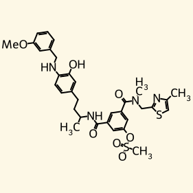 COc1cccc(CNc2ccc(CCC(C)NC(=O)c3cc(OS(C)(=O)=O)cc(C(=O)N(C)Cc4nc(C)cs4)c3)cc2O)c1